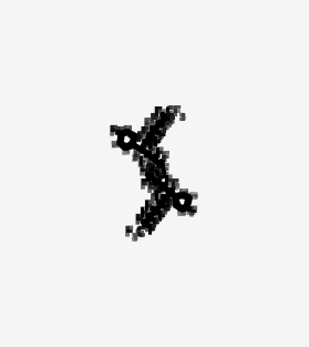 O=S(=O)(C(F)(F)C(F)(F)C(F)(F)C(F)(c1ccc(F)cc1)C(F)(F)C(F)(F)C(F)(F)C(F)(F)C(F)(F)C(F)(F)F)C(F)(F)C(F)(F)C(F)(F)C(F)(c1ccc(F)cc1)C(F)(F)C(F)(F)C(F)(F)C(F)(F)C(F)(F)C(F)(F)F